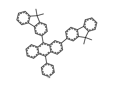 CC1(C)c2ccccc2-c2cc(-c3c4ccccc4c(-c4ccncc4)c4ccc(-c5ccc6c(c5)C(C)(C)c5ccccc5-6)cc34)ccc21